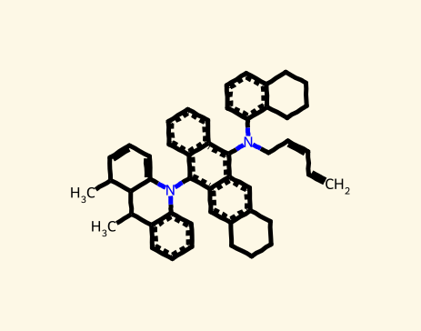 C=C/C=C\CN(c1cccc2c1CCCC2)c1c2ccccc2c(N2C3=CC=CC(C)C3C(C)c3ccccc32)c2cc3c(cc12)CCCC3